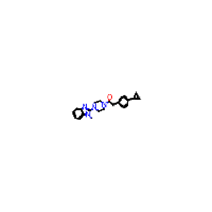 Cn1c(N2CCN(C(=O)Cc3ccc(C4CC4)cc3)CC2)nc2ccccc21